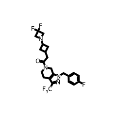 O=C(CC1CC(N2CC(F)(F)C2)C1)N1CCc2c(C(F)(F)F)nn(Cc3ccc(F)cc3)c2C1